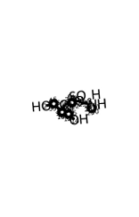 CS(=O)(=O)O.Oc1cccc(-c2ccc3cc(O)ccc3c2Oc2ccc(OCCC3CCCCN3)cc2)c1